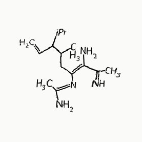 C=CC(C(C)C)C(C)CC(/N=C(\C)N)=C(\N)C(C)=N